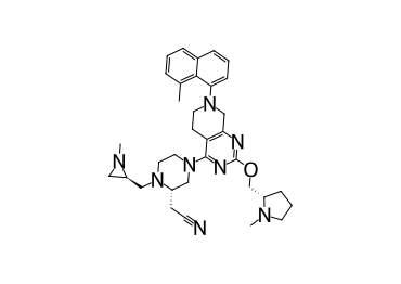 Cc1cccc2cccc(N3CCc4c(nc(OC[C@@H]5CCCN5C)nc4N4CCN(C[C@H]5CN5C)[C@@H](CC#N)C4)C3)c12